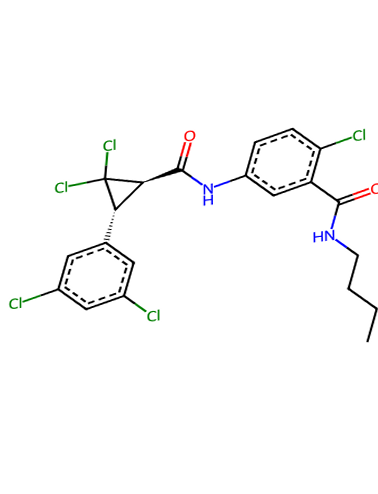 CCCCNC(=O)c1cc(NC(=O)[C@H]2[C@H](c3cc(Cl)cc(Cl)c3)C2(Cl)Cl)ccc1Cl